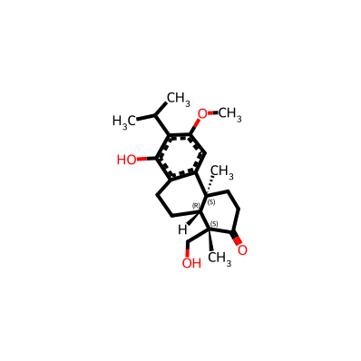 COc1cc2c(c(O)c1C(C)C)CC[C@H]1[C@@](C)(CO)C(=O)CC[C@]21C